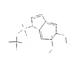 COc1cc2c(cc1OC)C([Si](C)(C)NC(C)(C)C)C=C2